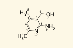 Cc1cc(C)c(CO)c(N)n1